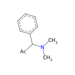 CC(=O)C(c1ccccc1)N(C)C